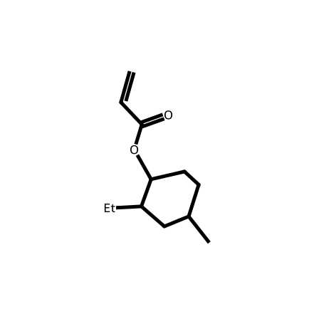 C=CC(=O)OC1CCC(C)CC1CC